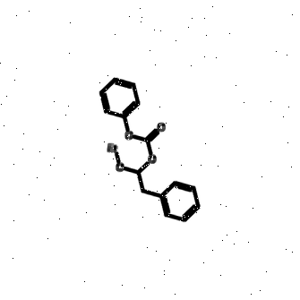 CCOC(Cc1ccccc1)OC(=O)Oc1ccccc1